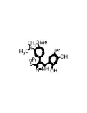 CCCSc1n[nH]c(-c2cc(C(C)C)c(O)cc2O)c1-c1ccc(OC)c(N(C)C)c1